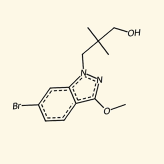 COc1nn(CC(C)(C)CO)c2cc(Br)ccc12